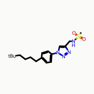 CC(C)(C)CCCCc1ccc(-n2cc(CNS(C)(=O)=O)nn2)cc1